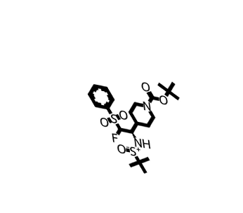 CC(C)(C)OC(=O)N1CCC([C@@H](N[S+]([O-])C(C)(C)C)C(F)S(=O)(=O)c2ccccc2)CC1